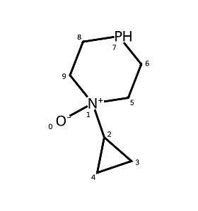 [O-][N+]1(C2CC2)CCPCC1